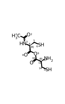 CC(=O)N[C@@H](CS)C(=O)OC(=O)[C@@H](N)CS